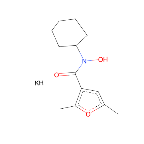 Cc1cc(C(=O)N(O)C2CCCCC2)c(C)o1.[KH]